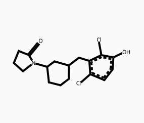 O=C1CCCN1C1CCCC(Cc2c(Cl)ccc(O)c2Cl)C1